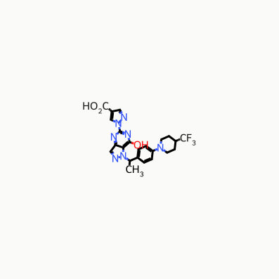 CC(c1ccc(N2CCC(C(F)(F)F)CC2)cc1)n1ncc2nc(-n3cc(C(=O)O)cn3)nc(O)c21